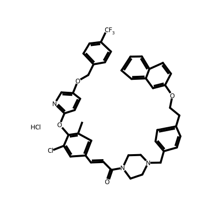 Cc1cc(/C=C/C(=O)N2CCN(Cc3ccc(CCOc4ccc5ccccc5c4)cc3)CC2)cc(Cl)c1Oc1ccc(OCc2ccc(C(F)(F)F)cc2)cn1.Cl